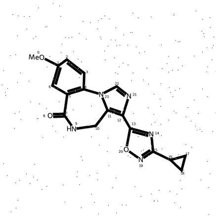 COc1ccc2c(c1)C(=O)NCc1c(-c3nc(C4CC4)no3)ncn1-2